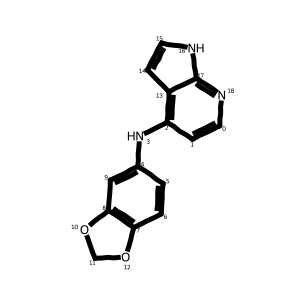 c1cc(Nc2ccc3c(c2)OCO3)c2cc[nH]c2n1